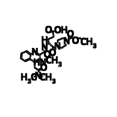 CCOC(=O)N1CCN(C(=O)C(CCC(=O)O)NC(=O)c2nc3ccccc3c(CC(=O)N(C)C)c2NC)CC1